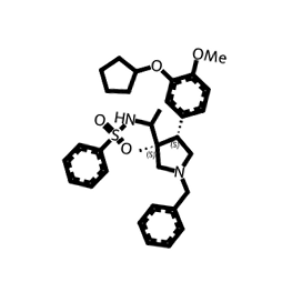 COc1ccc([C@@H]2CN(Cc3ccccc3)C[C@@]2(C)C(C)NS(=O)(=O)c2ccccc2)cc1OC1CCCC1